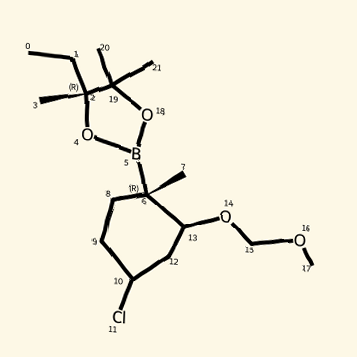 CC[C@@]1(C)OB([C@@]2(C)CCC(Cl)CC2OCOC)OC1(C)C